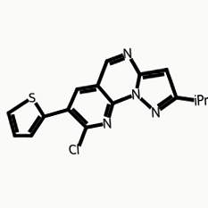 CC(C)c1cc2ncc3cc(-c4cccs4)c(Cl)nc3n2n1